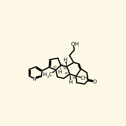 C[C@]12CCC(=O)CC1=CC(CCO)[C@@H]1[C@H]2CC[C@]2(C)C(c3cccnc3)=CC[C@@H]12